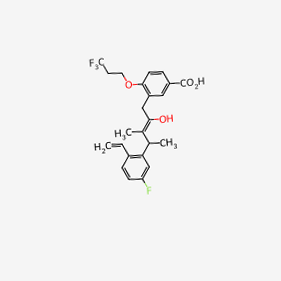 C=Cc1ccc(F)cc1C(C)C(C)=C(O)Cc1cc(C(=O)O)ccc1OCCC(F)(F)F